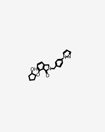 O=C1c2c(cccc2OC2CCCC2O)CN1Cc1ccc(-n2cccn2)cc1